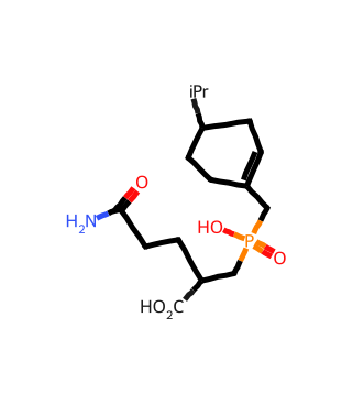 CC(C)C1CC=C(CP(=O)(O)CC(CCC(N)=O)C(=O)O)CC1